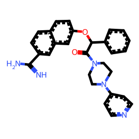 N=C(N)c1ccc2ccc(OC(C(=O)N3CCN(c4ccncc4)CC3)c3ccccc3)cc2c1